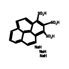 O=S(=O)(O)c1c(S(=O)(=O)O)c2ccc3cccc4ccc(c1S(=O)(=O)O)c2c34.[NaH].[NaH].[NaH]